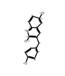 Clc1ccc(Cc2cc3cc(Cl)ccc3nc2Cl)cc1